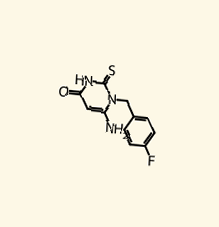 Nc1cc(=O)[nH]c(=S)n1Cc1ccc(F)cc1